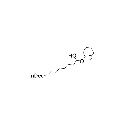 CCCCCCCCCCCCCCCCCC(O)OC1CCCCO1